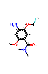 COc1cc(N)c(OCF)cc1C(=O)N(C)C